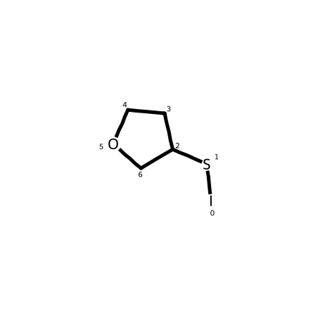 ISC1CCOC1